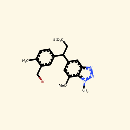 CCOC(=O)CC(c1ccc(C)c(CBr)c1)c1cc(OC)c2c(c1)nnn2C